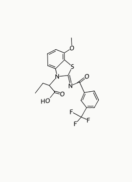 CCC(C(=O)O)n1c(=NC(=O)c2cccc(C(F)(F)F)c2)sc2c(OC)cccc21